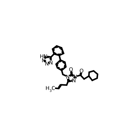 C/C=C/Cc1nn(C(=O)CC2CCCCC2)c(=O)n1Cc1ccc(-c2ccccc2-c2nnn[nH]2)cc1